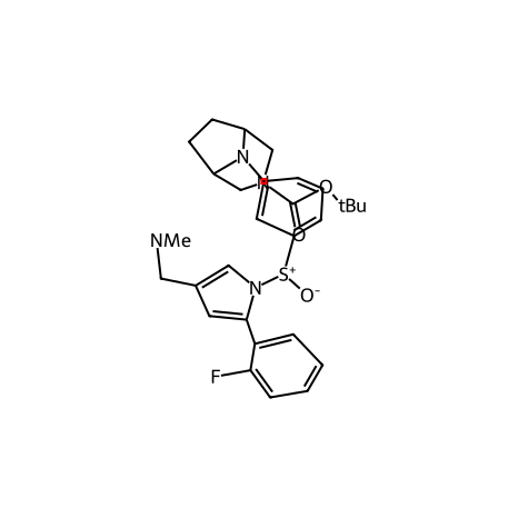 CNCc1cc(-c2ccccc2F)n([S+]([O-])c2cccc(N3C4CCC3CN(C(=O)OC(C)(C)C)C4)c2)c1